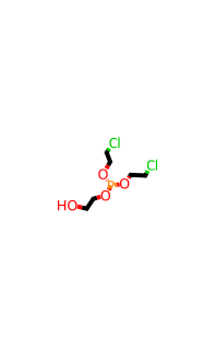 OCCOP(OCCCl)OCCCl